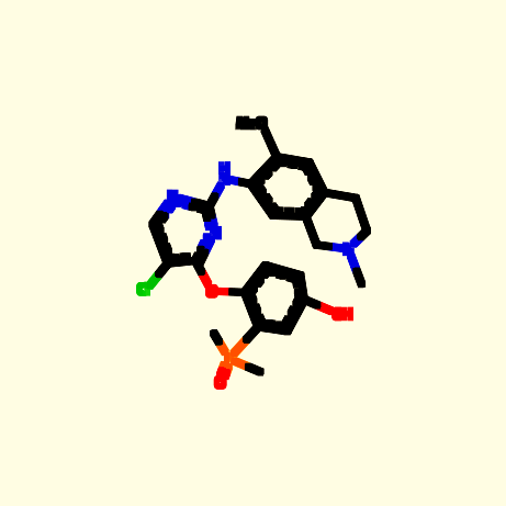 COc1cc2c(cc1Nc1ncc(Cl)c(Oc3ccc(O)cc3P(C)(C)=O)n1)CN(C)CC2